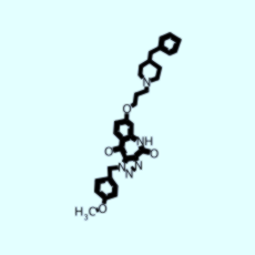 COc1ccc(Cn2nnc3c(=O)[nH]c4cc(OCCCN5CCC(Cc6ccccc6)CC5)ccc4c(=O)c32)cc1